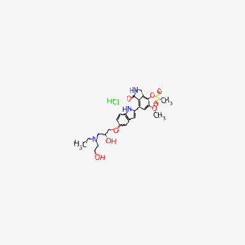 CCN(CCO)CC(O)COc1ccc2[nH]c(-c3cc(OC)c(OS(C)(=O)=O)c4c3C(=O)NC4)cc2c1.Cl